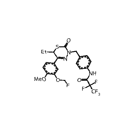 CCC1SC(=O)N(Cc2ccc(NC(=O)C(F)(F)C(F)(F)F)cc2)N=C1c1ccc(OC)c(OCF)c1